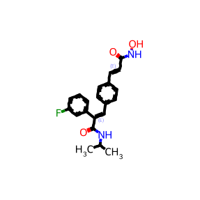 CC(C)NC(=O)/C(=C/c1ccc(/C=C/C(=O)NO)cc1)c1cccc(F)c1